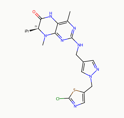 Cc1nc(NCc2cnn(Cc3cnc(Cl)s3)c2)nc2c1NC(=O)[C@H](C(C)C)N2C